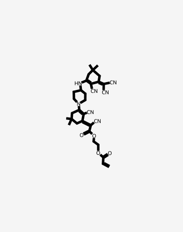 C=CC(=O)OCCOC(=O)/C(C#N)=C1\CC(C)(C)CC(N2CCC(NC3=C(C#N)C(=C(C#N)C#N)CC(C)(C)C3)CC2)=C1C#N